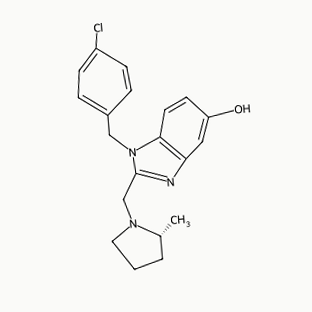 C[C@@H]1CCCN1Cc1nc2cc(O)ccc2n1Cc1ccc(Cl)cc1